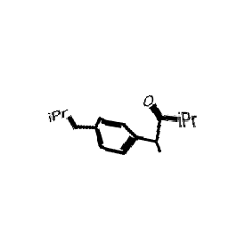 CC(C)Cc1ccc(C(C)C(=O)C(C)C)cc1